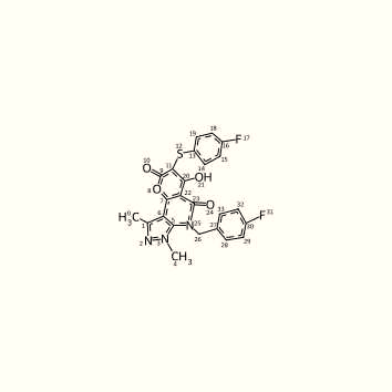 Cc1nn(C)c2c1c1oc(=O)c(Sc3ccc(F)cc3)c(O)c1c(=O)n2Cc1ccc(F)cc1